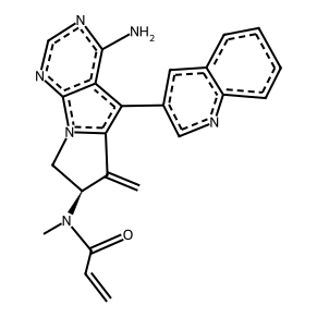 C=CC(=O)N(C)[C@H]1Cn2c(c(-c3cnc4ccccc4c3)c3c(N)ncnc32)C1=C